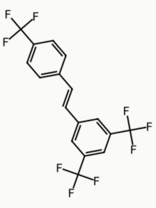 FC(F)(F)c1ccc(C=Cc2cc(C(F)(F)F)cc(C(F)(F)F)c2)cc1